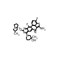 C[C@H]1CN2CCC[C@@]2(COc2nc(N3CCC[C@@](C)(O)C3)c3cc(F)c(-c4ccc(F)c5sc(N)c(C#N)c45)c(F)c3n2)C1